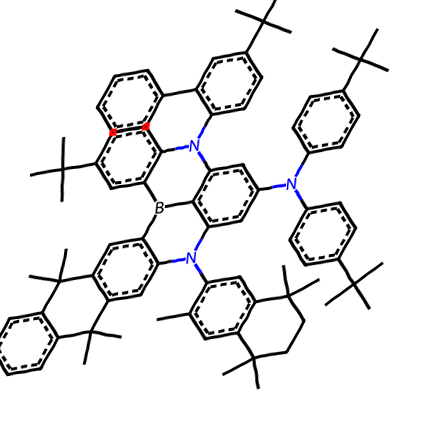 Cc1cc2c(cc1N1c3cc4c(cc3B3c5cc(C(C)(C)C)ccc5N(c5ccc(C(C)(C)C)cc5-c5ccccc5)c5cc(N(c6ccc(C(C)(C)C)cc6)c6ccc(C(C)(C)C)cc6)cc1c53)C(C)(C)c1ccccc1C4(C)C)C(C)(C)CCC2(C)C